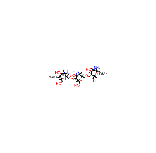 COC[C@]1(C)OC(C)(CO)[C@@H](COC[C@]2(C)OC(C)(CO)[C@@H](COC[C@]3(C)OC(C)(CO)[C@@](C)(COC)[C@@](C)(O)C3(C)N)[C@@](C)(O)C2(C)N)[C@@](C)(O)C1(C)N